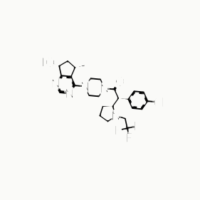 C[C@@H]1C[C@@H](O)c2ncnc(N3CCN(C(=O)[C@@H](c4ccc(Cl)cc4)[C@@H]4CCCN4CC(F)(F)F)CC3)c21